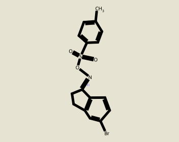 Cc1ccc(S(=O)(=O)O/N=C2\CCc3cc(Br)ccc32)cc1